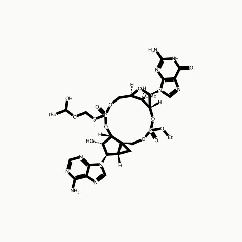 CCOP1(=O)OC[C@@]23C[C@@H]2[C@@H](n2cnc4c(N)ncnc42)[C@H](O)[C@@H]3OP(=O)(SCOC(O)C(C)(C)C)OC[C@H]2O[C@@H](n3cnc4c(=O)[nH]c(N)nc43)[C@H](O1)[C@@H]2OC